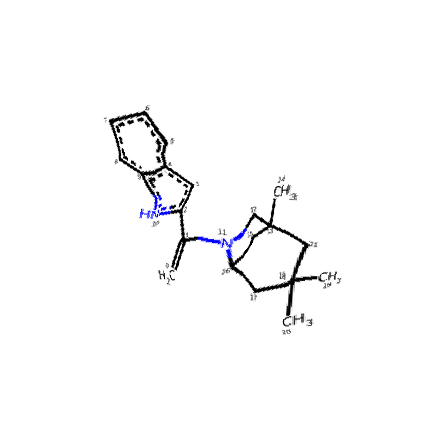 C=C(c1cc2ccccc2[nH]1)N1CC2(C)CC1CC(C)(C)C2